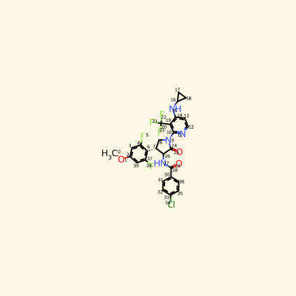 COc1cc(F)c([C@@H]2CN(c3nccc(NC4CC4)c3C(F)(F)F)C(=O)C2NC(=O)c2ccc(Cl)cc2)c(F)c1